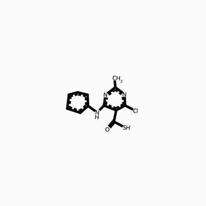 Cc1nc(Cl)c(C(=O)S)c(Nc2ccccc2)n1